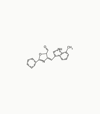 Cc1cccc2c(C=C3N=C(c4ccccc4)OC3C=O)c[nH]c12